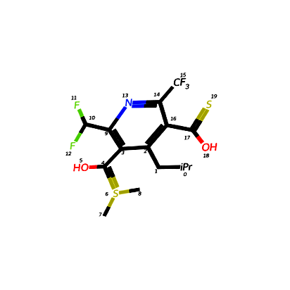 CC(C)Cc1c(C(O)=S(C)C)c(C(F)F)nc(C(F)(F)F)c1C(O)=S